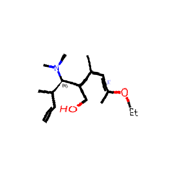 C=CC(C)[C@H](C(CO)C(C)/C=C(\C)OCC)N(C)C